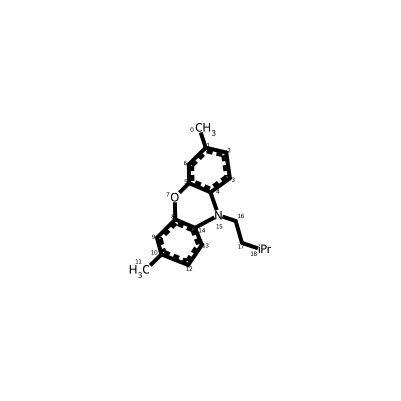 Cc1ccc2c(c1)Oc1cc(C)ccc1N2CCC(C)C